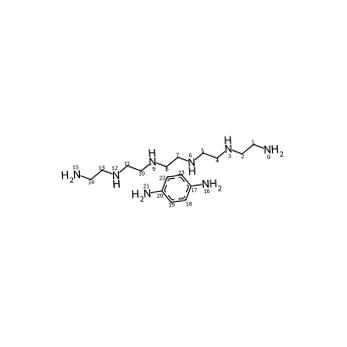 NCCNCCNCCNCCNCCN.Nc1ccc(N)cc1